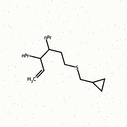 C=CC(CCC)C(CCC)CCSCC1CC1